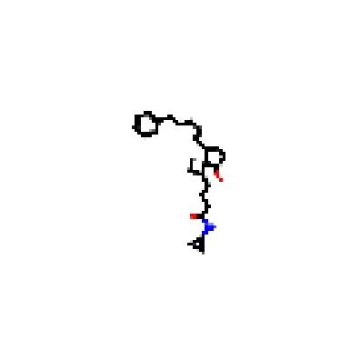 C[C@H](/C=C/C1=CCC(=O)[C@]12CCC2CCCC(=O)NC1CC1)CCc1ccccc1